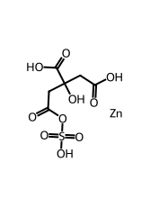 O=C(O)CC(O)(CC(=O)OS(=O)(=O)O)C(=O)O.[Zn]